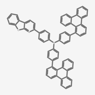 c1ccc2c(c1)oc1nc(-c3ccc(N(c4ccc(-c5cccc6c7ccccc7c7ccccc7c56)cc4)c4ccc(-c5cccc6c7ccccc7c7ccccc7c56)cc4)cc3)ccc12